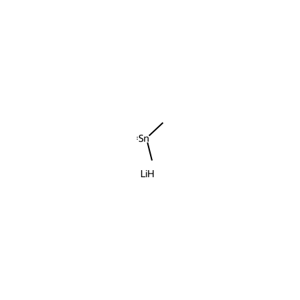 [CH3][Sn][CH3].[LiH]